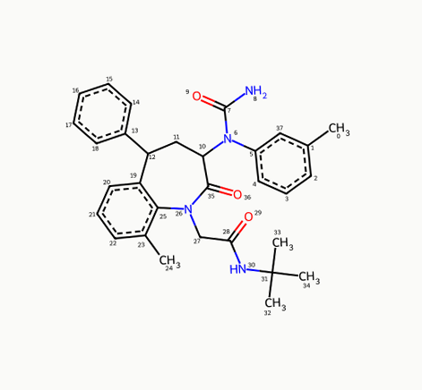 Cc1cccc(N(C(N)=O)C2CC(c3ccccc3)c3cccc(C)c3N(CC(=O)NC(C)(C)C)C2=O)c1